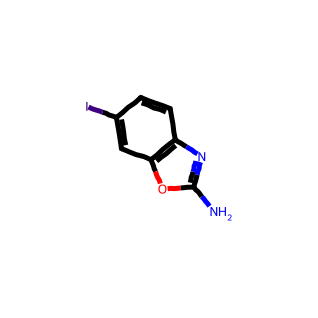 Nc1nc2ccc(I)cc2o1